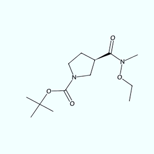 CCON(C)C(=O)[C@@H]1CCN(C(=O)OC(C)(C)C)C1